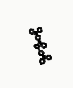 c1ccc(N(c2ccccc2)c2ccc(-c3cccc4c3c3ccccc3n4-c3ccc(N(c4ccccc4)c4ccccc4)cc3)cc2)cc1